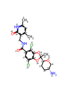 Cc1cc(C)c(CNC(=O)c2cc(Cl)c3c(c2Cl)OC(C)([C@@H]2CC[C@@H](N)CO2)O3)c(=O)[nH]1